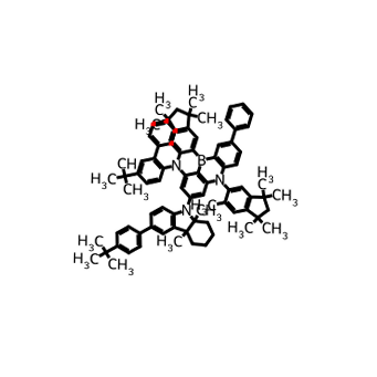 Cc1cc2c(cc1N1c3ccc(-c4ccccc4)cc3B3c4cc5c(cc4N(c4ccc(C(C)(C)C)cc4-c4ccccc4)c4cc(N6c7ccc(-c8ccc(C(C)(C)C)cc8)cc7C7(C)CCCCC67C)cc1c43)C(C)(C)CC5(C)C)C(C)(C)CC2(C)C